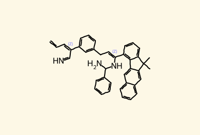 C=C/C=C(\C=N)c1cccc(C/C=C(\NC(N)c2ccccc2)c2cccc3c2-c2cc4ccccc4cc2C3(C)C)c1